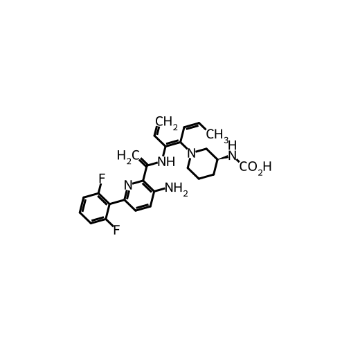 C=C/C(NC(=C)c1nc(-c2c(F)cccc2F)ccc1N)=C(\C=C/C)N1CCC[C@H](NC(=O)O)C1